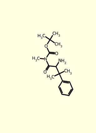 CN(C(=O)OC(C)(C)C)C(=O)C(N)C(C)(C)c1ccccc1